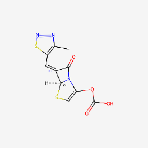 Cc1nnsc1/C=C1\C(=O)N2C(OC(=O)O)=CS[C@@H]12